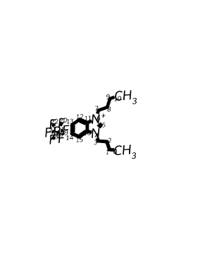 CCCCn1c[n+](CCCC)c2ccccc21.F[P-](F)(F)(F)(F)F